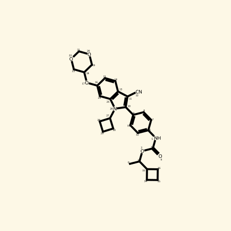 CC(OC(=O)Nc1ccc(-c2c(C#N)c3ccc(OC4COCOC4)cc3n2C2CCC2)cc1)C1CCC1